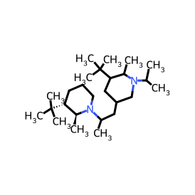 CC(C)N1CC(CC(C)N2CCC[C@@H](C(C)(C)C)[C@@H]2C)CC(C(C)(C)C)C1C